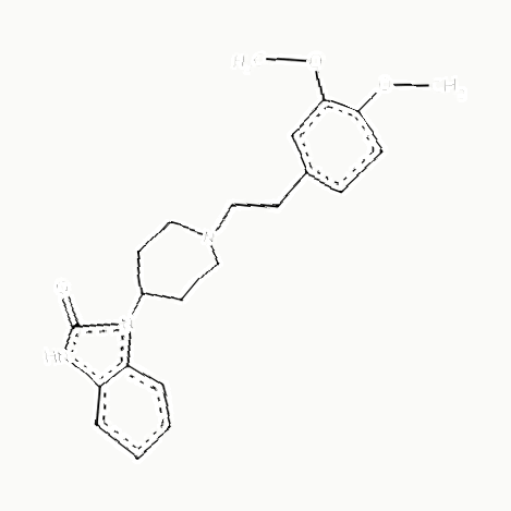 COc1ccc(CCN2CCC(n3c(=O)[nH]c4ccccc43)CC2)cc1OC